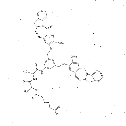 COc1cc2c(cc1OCc1cc(COc3cc4c(cc3OC)C(=O)N3c5ccccc5CC3C=N4)cc(NC(=O)C(C)NC(=O)C(C)NC(=O)CCCCC(=O)C(C)C)c1)N=CC1Cc3ccccc3N1C2